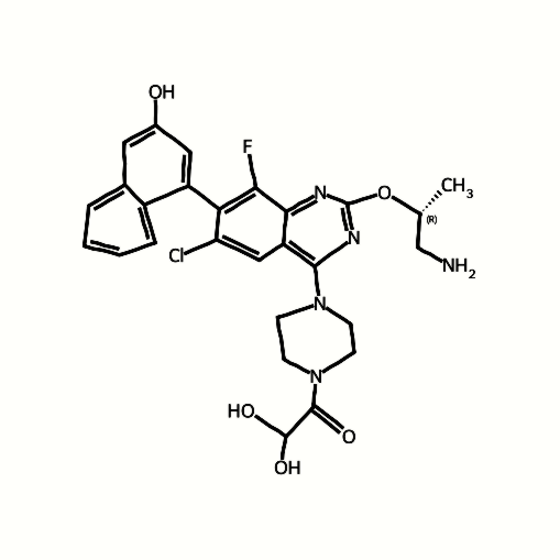 C[C@H](CN)Oc1nc(N2CCN(C(=O)C(O)O)CC2)c2cc(Cl)c(-c3cc(O)cc4ccccc34)c(F)c2n1